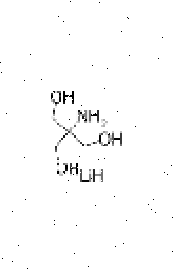 NC(CO)(CO)CO.[LiH]